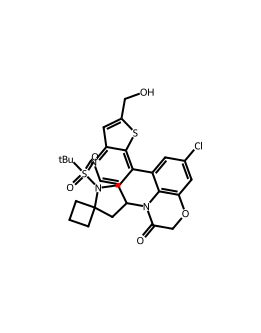 CC(C)(C)S(=O)(=O)N1CC(N2C(=O)COc3cc(Cl)cc(-c4ccnc5cc(CO)sc45)c32)CC12CCC2